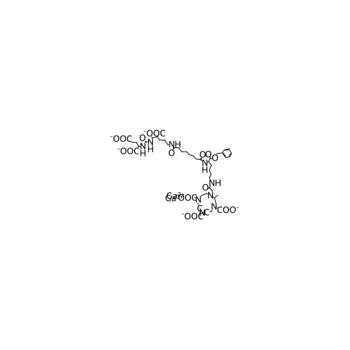 CC1CN(C(=O)[O-])CCN(C(=O)[O-])CCN(C(=O)[O-])CCN1CC(=O)NCCCCC(NC(=O)CCCCCCC(=O)NCCCCC(NC(=O)NC(CCC(=O)[O-])C(=O)[O-])C(=O)[O-])C(=O)OCc1ccccc1.[Ga+3].[Ga+3]